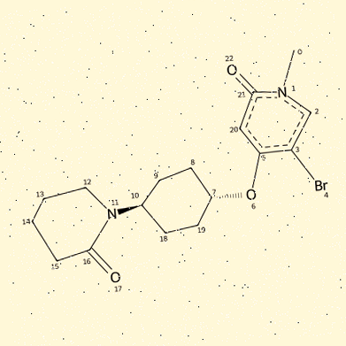 Cn1cc(Br)c(O[C@H]2CC[C@H](N3CCCCC3=O)CC2)cc1=O